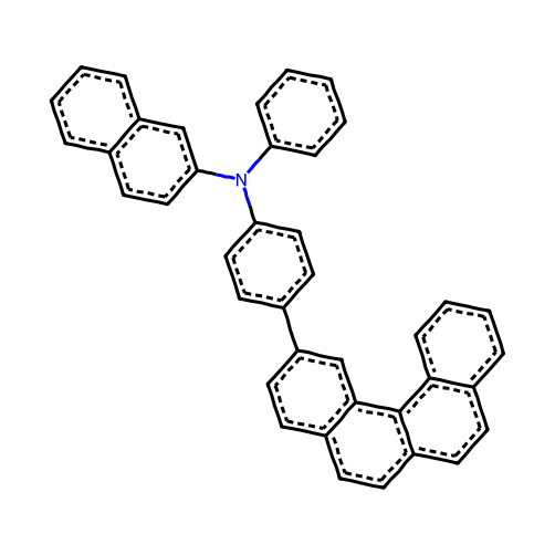 c1ccc(N(c2ccc(-c3ccc4ccc5ccc6ccccc6c5c4c3)cc2)c2ccc3ccccc3c2)cc1